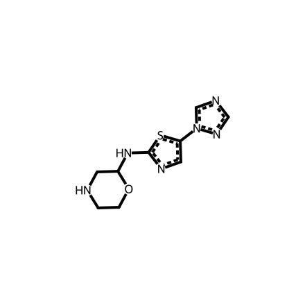 c1ncn(-c2cnc(NC3CNCCO3)s2)n1